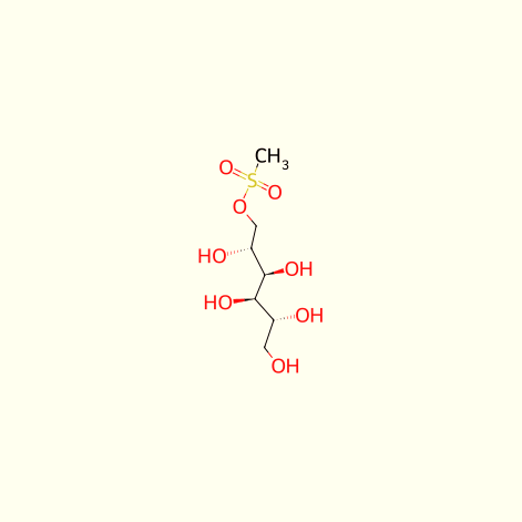 CS(=O)(=O)OC[C@@H](O)[C@@H](O)[C@H](O)[C@H](O)CO